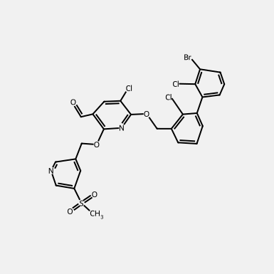 CS(=O)(=O)c1cncc(COc2nc(OCc3cccc(-c4cccc(Br)c4Cl)c3Cl)c(Cl)cc2C=O)c1